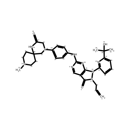 C=CCn1c(=O)c2cnc(Nc3ccc(N4CC(=O)NC5(CCN(C)CC5)C4)cc3)nc2n1-c1cccc(C(C)(C)O)n1